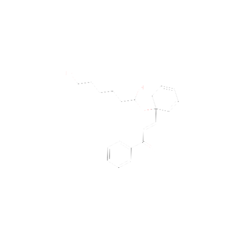 O=C(C=CC1(OC(O)CCCCCO)C=CC=CC1)c1ccccc1